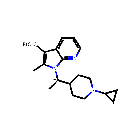 CCOC(=O)c1c(C)n([C@H](C)C2CCN(C3CC3)CC2)c2ncccc12